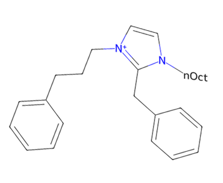 CCCCCCCCn1cc[n+](CCCc2ccccc2)c1Cc1ccccc1